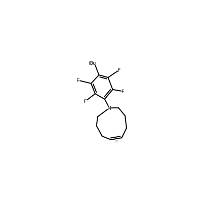 CCC(C)c1c(F)c(F)c(N2CCC/C=C\CCC2)c(F)c1F